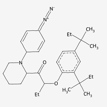 CCC(Oc1ccc(C(C)(C)CC)cc1C(C)(C)CC)C(=O)C1CCCCN1C1C=CC(=[N+]=[N-])C=C1